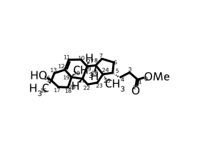 COC(=O)CC[C@H]1CC[C@H]2[C@@H]3CC=C4C[C@@](C)(O)CC[C@]4(C)[C@H]3CC[C@]12C